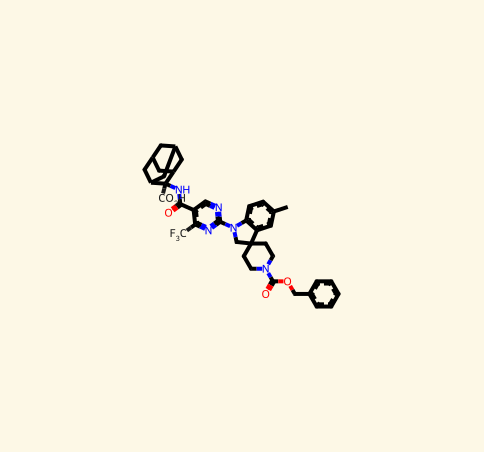 Cc1ccc2c(c1)C1(CCN(C(=O)OCc3ccccc3)CC1)CN2c1ncc(C(=O)NC2(C(=O)O)C3CC4CC(C3)CC2C4)c(C(F)(F)F)n1